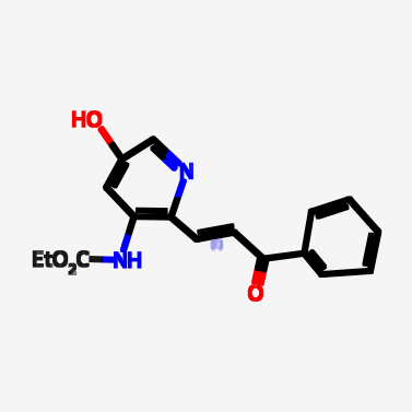 CCOC(=O)Nc1cc(O)cnc1/C=C/C(=O)c1ccccc1